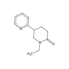 CCN1CC(c2ccccn2)CCC1=O